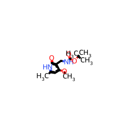 COc1cc(C)[nH]c(=O)c1CNC(=O)OC(C)(C)C